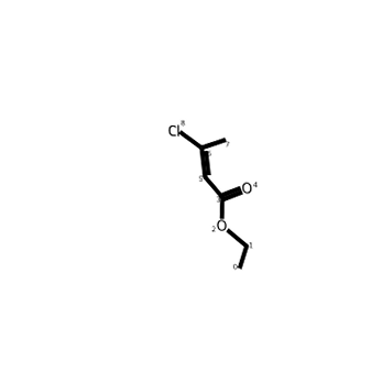 CCOC(=O)/C=C(\C)Cl